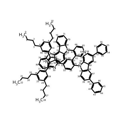 CCCCc1cc(CCCC)cc(-c2nc(-c3cc(CCCC)cc(CCCC)c3)nc(-c3ccc(-n4c5ccc(-c6ccccc6)cc5c5cc(-c6ccccc6)ccc54)c(-c4cnccc4-n4c5ccccc5c5c6oc7ccccc7c6ccc54)c3)n2)c1